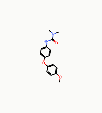 COc1ccc(Oc2ccc(NC(=O)N(C)C)cc2)cc1